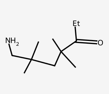 CCC(=O)C(C)(C)CC(C)(C)CN